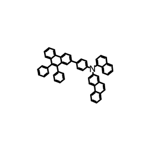 c1ccc(-c2c(-c3ccccc3)c3cc(-c4ccc(N(c5ccc6c(ccc7ccccc76)c5)c5cccc6ccccc56)cc4)ccc3c3ccccc23)cc1